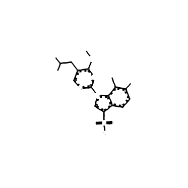 COc1nc(-n2cc(S(N)(=O)=O)c3ccc(Cl)c(C)c32)ncc1CC(F)F